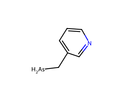 [AsH2]Cc1cccnc1